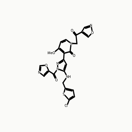 COc1ccn(CC(=O)c2cnoc2)c(=O)c1-c1cc(NCc2ccc(Cl)s2)n(C(=O)c2cnco2)n1